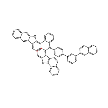 c1cc(-c2ccc(N(c3ccccc3-c3cccc4c3oc3cc5ccccc5cc34)c3cccc4oc5c6ccccc6ccc5c34)cc2)cc(-c2ccc3ccccc3c2)c1